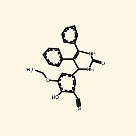 CCOc1cc(C2NC(=O)NC(c3ccccc3)=C2c2ccccc2)cc(C#N)c1O